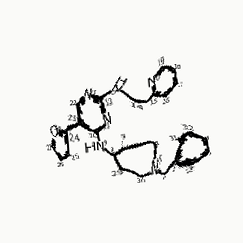 c1ccc(CN2CCC(Nc3nc(NCc4ccccn4)ncc3-c3ccco3)CC2)cc1